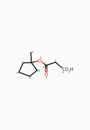 CC1(OC(=O)CC(=O)O)CCCC1